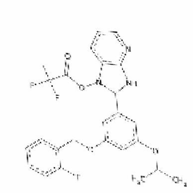 CC(C)Oc1cc(OCc2ccccc2F)cc(C2Nc3ncccc3N2OC(=O)C(F)(F)F)c1